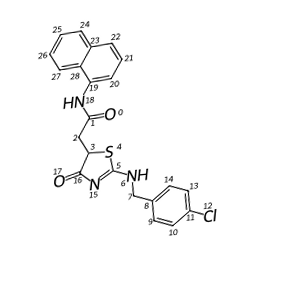 O=C(CC1SC(NCc2ccc(Cl)cc2)=NC1=O)Nc1cccc2ccccc12